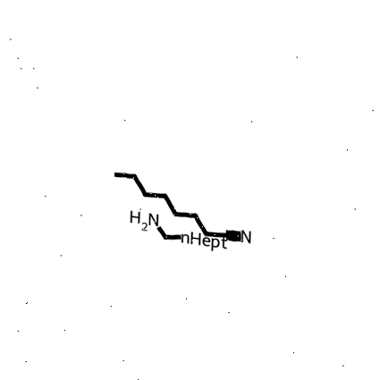 CCCCCCCC#N.CCCCCCCCN